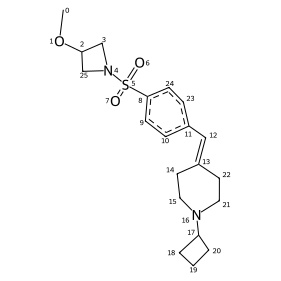 COC1CN(S(=O)(=O)c2ccc(C=C3CCN(C4CCC4)CC3)cc2)C1